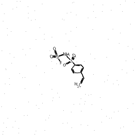 C=Cc1ccc(S(=O)(=O)NS(=O)(=O)F)cc1